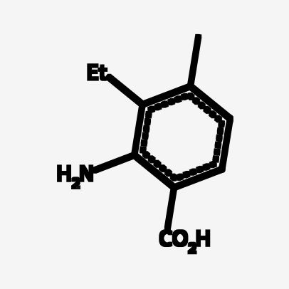 CCc1c(C)ccc(C(=O)O)c1N